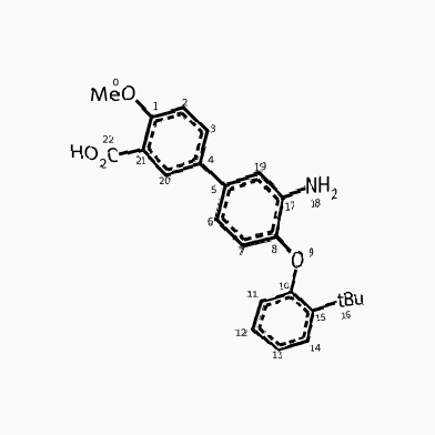 COc1ccc(-c2ccc(Oc3ccccc3C(C)(C)C)c(N)c2)cc1C(=O)O